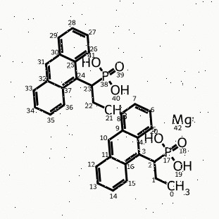 CCC(c1c2ccccc2cc2ccccc12)P(=O)(O)O.CCC(c1c2ccccc2cc2ccccc12)P(=O)(O)O.[Mg]